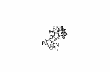 CC1(C#N)C=C(F)C=C(Oc2ccc3c(c2C(F)F)[C@H](N)C(F)(F)S3(=O)=O)C1